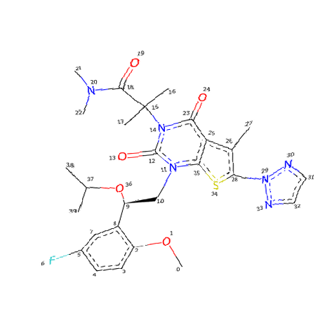 COc1ccc(F)cc1[C@H](Cn1c(=O)n(C(C)(C)C(=O)N(C)C)c(=O)c2c(C)c(-n3nccn3)sc21)OC(C)C